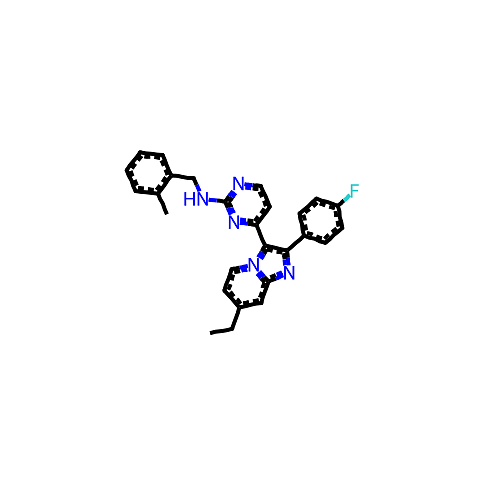 CCc1ccn2c(-c3ccnc(NCc4ccccc4C)n3)c(-c3ccc(F)cc3)nc2c1